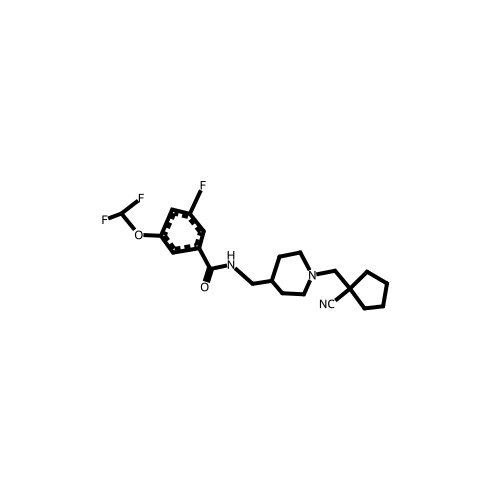 N#CC1(CN2CCC(CNC(=O)c3cc(F)cc(OC(F)F)c3)CC2)CCCC1